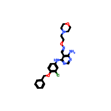 Nc1ncnc(Nc2ccc(OCc3ccccc3)c(Cl)c2)c1/C=N/OCCN1CCOCC1